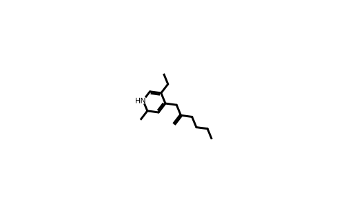 C=C(CCCC)CC1=CC(C)NC=C1CC